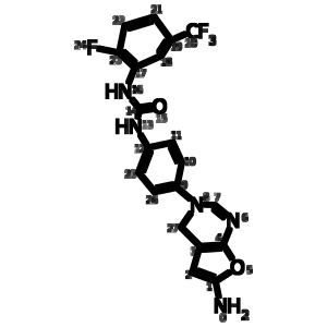 Nc1cc2c(o1)N=CN(c1ccc(NC(=O)Nc3cc(C(F)(F)F)ccc3F)cc1)C2